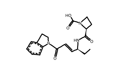 CC[C@@H](/C=C/C(=O)N1CCc2ccccc21)NC(=O)[C@@H]1CCN1C(=O)O